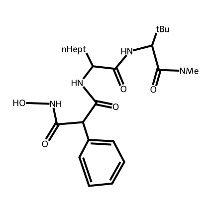 CCCCCCCC(NC(=O)C(C(=O)NO)c1ccccc1)C(=O)NC(C(=O)NC)C(C)(C)C